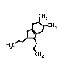 CCCC1=CC2=C(CC(C)C(C)C2)C1CCC